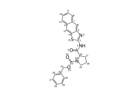 O=C(Nc1nc2cc3ccccc3cc2s1)C1CCCN1C(=O)OCc1ccccc1